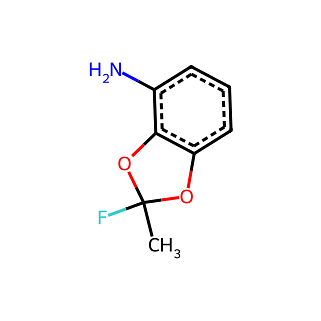 CC1(F)Oc2cccc(N)c2O1